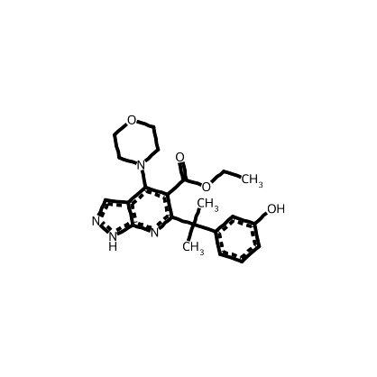 CCOC(=O)c1c(C(C)(C)c2cccc(O)c2)nc2[nH]ncc2c1N1CCOCC1